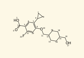 O=C(O)c1cc(C2CC2)c(OCC2CCC(CO)CC2)cc1F